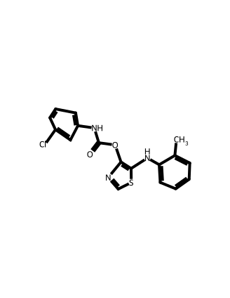 Cc1ccccc1Nc1scnc1OC(=O)Nc1cccc(Cl)c1